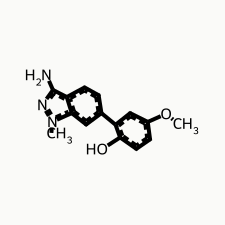 COc1ccc(O)c(-c2ccc3c(N)nn(C)c3c2)c1